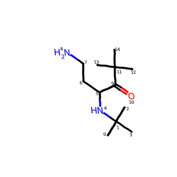 CC(C)(C)NC(CCN)C(=O)C(C)(C)C